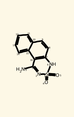 NC1=NS(=O)(=O)Nc2ccc3ccccc3c21